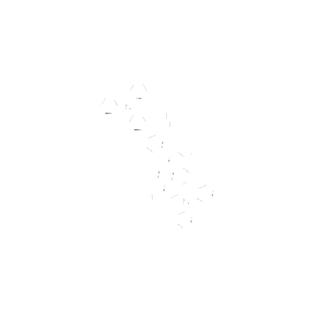 [2H]c1cc(-c2ccc3c(c2)C(C)(C)c2cc(N(c4ccccc4)c4ccccc4)ccc2-3)c2ccc3c([2H])cc(N(c4ccccc4)c4ccccc4)c4ccc1c2c34